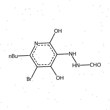 CCCCc1nc(O)c(NNC=O)c(O)c1Br